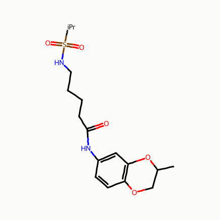 CC1COc2ccc(NC(=O)CCCCNS(=O)(=O)C(C)C)cc2O1